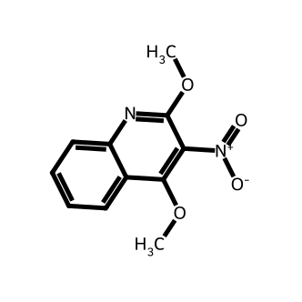 COc1nc2ccccc2c(OC)c1[N+](=O)[O-]